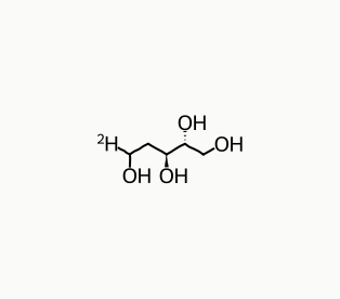 [2H]C(O)C[C@H](O)[C@H](O)CO